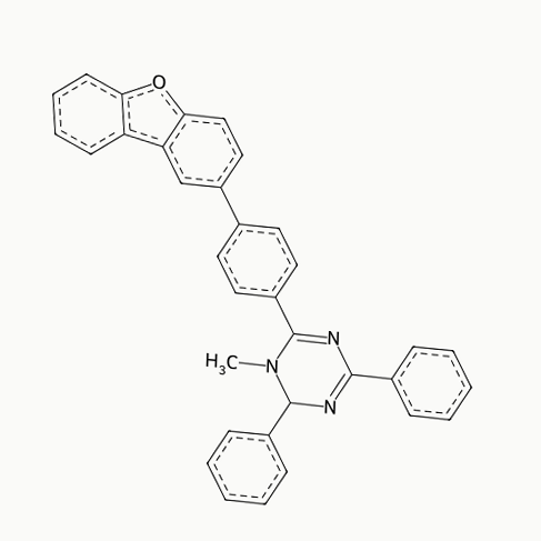 CN1C(c2ccc(-c3ccc4oc5ccccc5c4c3)cc2)=NC(c2ccccc2)=NC1c1ccccc1